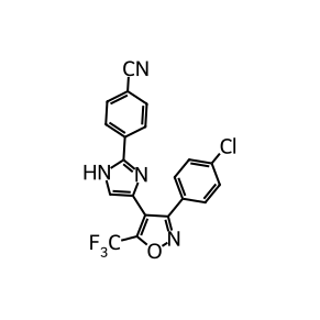 N#Cc1ccc(-c2nc(-c3c(-c4ccc(Cl)cc4)noc3C(F)(F)F)c[nH]2)cc1